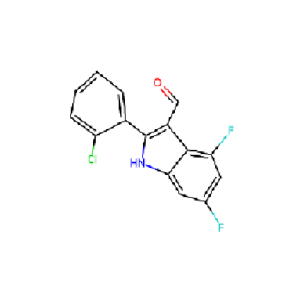 O=Cc1c(-c2ccccc2Cl)[nH]c2cc(F)cc(F)c12